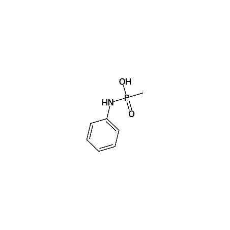 CP(=O)(O)Nc1ccccc1